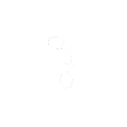 Cc1ccc(C)c(S(=O)(=O)NS(=O)(=O)c2ccccc2)c1